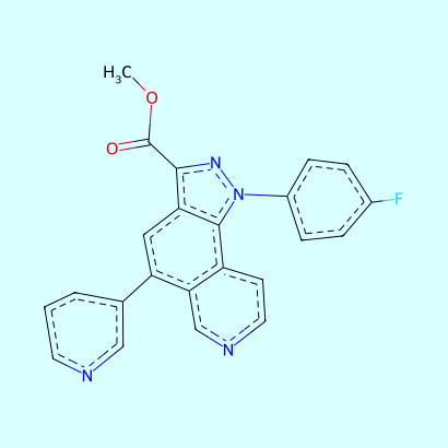 COC(=O)c1nn(-c2ccc(F)cc2)c2c1cc(-c1cccnc1)c1cnccc12